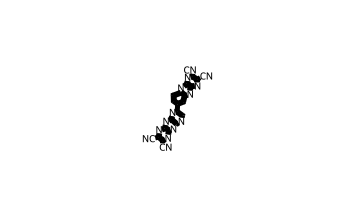 N#Cc1nc2nc3ccc(-c4cnc5nc6nc(C#N)c(C#N)nc6nc5n4)cc3nc2nc1C#N